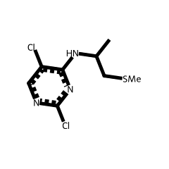 CSCC(C)Nc1nc(Cl)ncc1Cl